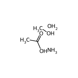 CC(=O)O.CO.N.O